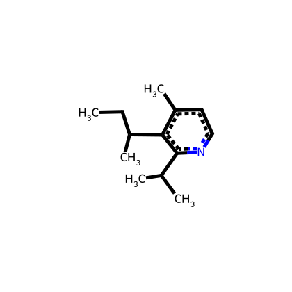 CCC(C)c1c(C)ccnc1C(C)C